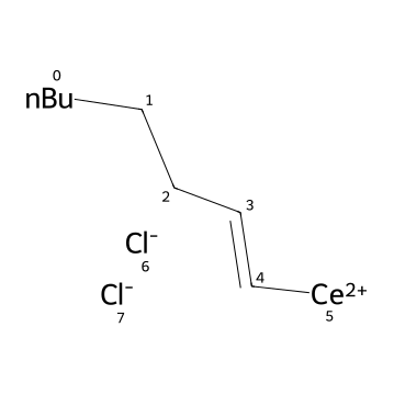 CCCCCCC=[CH][Ce+2].[Cl-].[Cl-]